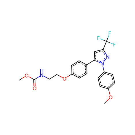 COC(=O)NCCOc1ccc(-c2cc(C(F)(F)F)nn2-c2ccc(OC)cc2)cc1